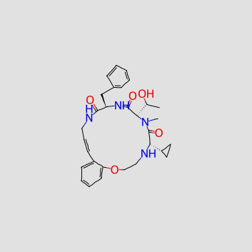 CC(O)[C@H]1C(=O)N[C@H](Cc2ccccc2)C(=O)NC/C=C/c2ccccc2OCCN[C@@H](C2CC2)C(=O)N1C